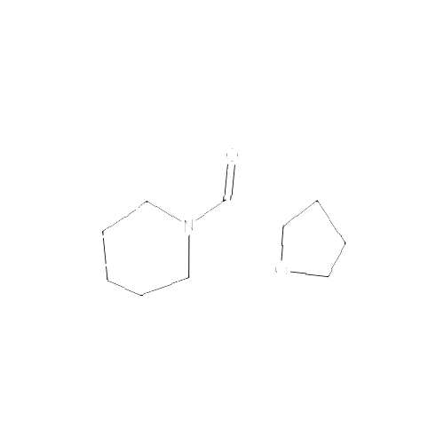 O=C([C@@H]1CCCO1)N1C[CH]CCC1